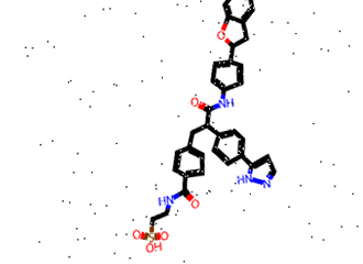 O=C(NCCS(=O)(=O)O)c1ccc(CC(C(=O)Nc2ccc(C3Cc4ccccc4O3)cc2)c2ccc(-c3ccn[nH]3)cc2)cc1